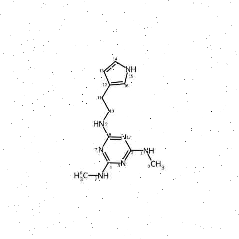 CNc1nc(NC)nc(NCCc2cc[nH]c2)n1